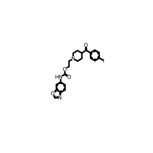 O=C(Nc1ccc2ncoc2c1)OCCN1CCC(C(=O)c2ccc(I)cc2)CC1